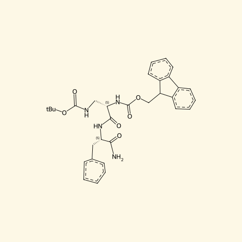 CC(C)(C)OC(=O)NC[C@H](NC(=O)OCC1c2ccccc2-c2ccccc21)C(=O)N[C@@H](Cc1ccccc1)C(N)=O